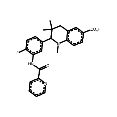 CN1c2ccc(C(=O)O)cc2CC(C)(C)C1c1ccc(F)c(NC(=O)c2ccccn2)c1